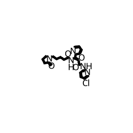 O=C(CCCCN1CCCC1=O)Nc1c(C(=O)Nc2ccc(Cl)cn2)oc2cccnc12